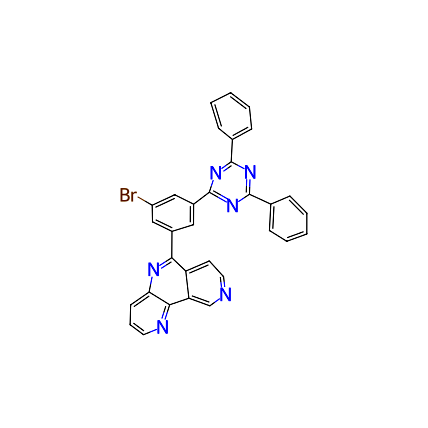 Brc1cc(-c2nc(-c3ccccc3)nc(-c3ccccc3)n2)cc(-c2nc3cccnc3c3cnccc23)c1